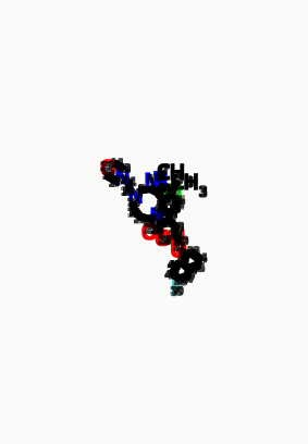 CCc1c2c(nn1C)CN(CCN1CCOCC1)CCCCn1c(C(=O)O)c(CCCOc3cccc4cc(F)ccc34)c3ccc(Cl)c-2c31